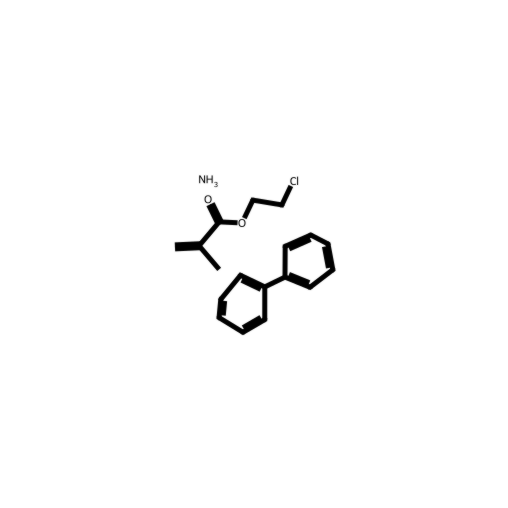 C=C(C)C(=O)OCCCl.N.c1ccc(-c2ccccc2)cc1